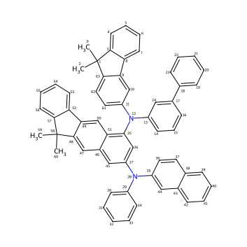 CC1(C)c2ccccc2-c2cc(N(c3cccc(-c4ccccc4)c3)c3cc(N(c4ccccc4)c4ccc5ccccc5c4)cc4cc5c(cc34)-c3ccccc3C5(C)C)ccc21